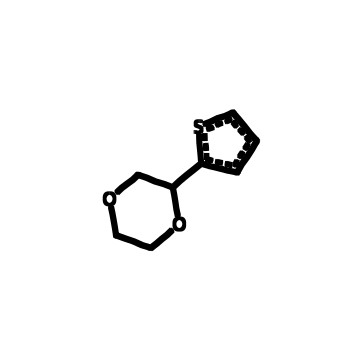 c1csc(C2COCCO2)c1